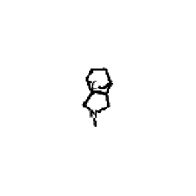 CN1CC2C3CCC(CC3)C2C1